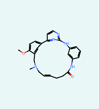 COc1ccc2cc1CN(C)C/C=C/CCC(=O)Nc1cccc(c1)Nc1nccc-2n1